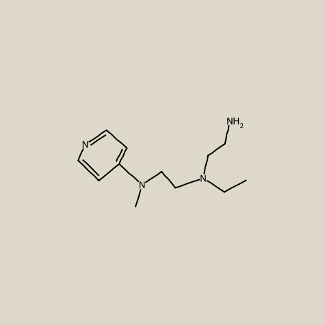 CCN(CCN)CCN(C)c1ccncc1